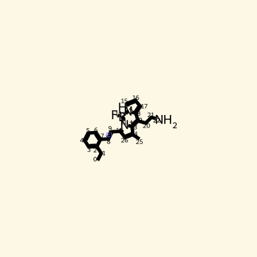 CCc1ccccc1/C=C/C1=[N+]2[BH-](F)n3cccc3C(CCN)=C2C(C)=C1